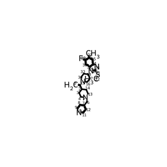 C=C(C1CCN(Cc2ccncc2)CC1)N1CCC(n2c(SC)nc3cc(C)c(F)cc32)CC1